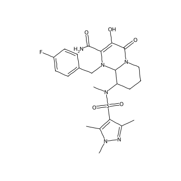 Cc1nn(C)c(C)c1S(=O)(=O)N(C)C1CCCN2C(=O)C(O)=C(C(N)=O)N(Cc3ccc(F)cc3)C12